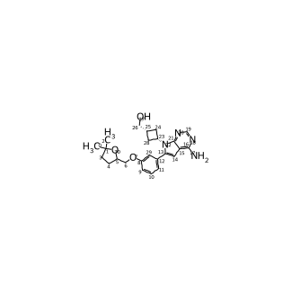 CC1(C)CCC(COc2cccc(-c3cc4c(N)ncnc4n3[C@H]3C[C@@H](CO)C3)c2)O1